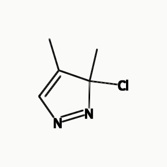 CC1=CN=NC1(C)Cl